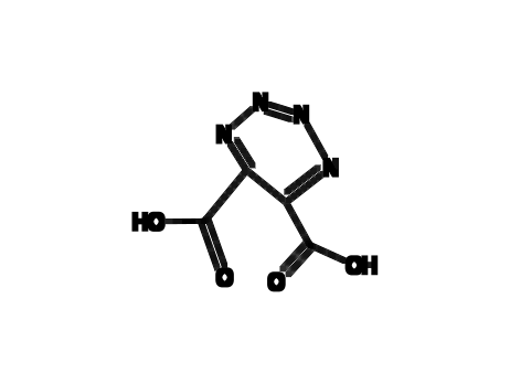 O=C(O)c1nnnnc1C(=O)O